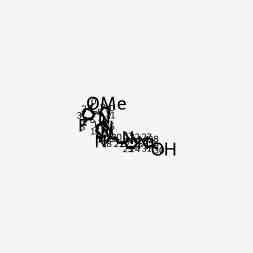 COc1ccc(F)cc1[C@H]1CCCN1c1ccc2ncc(/C=C/c3ccc(N4CCC(O)C4)cn3)n2n1